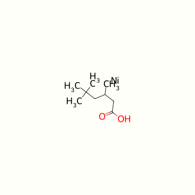 CC(CC(=O)O)CC(C)(C)C.[Ni]